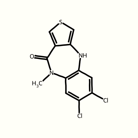 CN1C(=O)c2cscc2Nc2cc(Cl)c(Cl)cc21